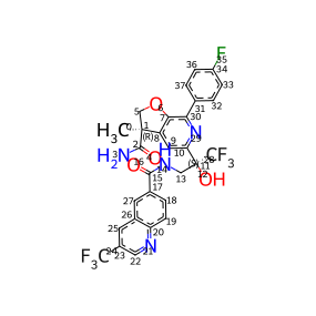 C[C@]1(C(N)=O)COc2c1cc([C@@](O)(CNC(=O)c1ccc3ncc(C(F)(F)F)cc3c1)C(F)(F)F)nc2-c1ccc(F)cc1